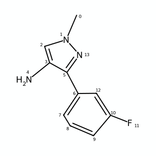 Cn1cc(N)c(-c2cccc(F)c2)n1